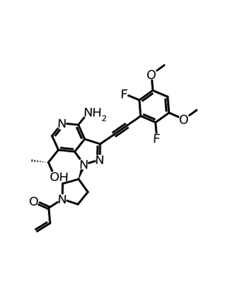 C=CC(=O)N1CC[C@H](n2nc(C#Cc3c(F)c(OC)cc(OC)c3F)c3c(N)ncc([C@@H](C)O)c32)C1